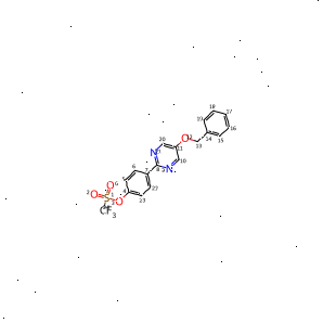 O=S(=O)(Oc1ccc(-c2ncc(OCc3ccccc3)cn2)cc1)C(F)(F)F